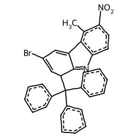 Cc1c([N+](=O)[O-])ccc2c1C1=CC(Br)=CC(C(c3ccccc3)(c3ccccc3)c3ccccc3)C1=N2